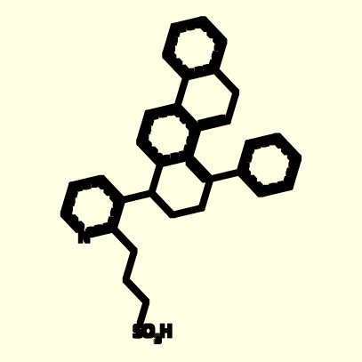 O=S(=O)(O)CCCc1ncccc1C1CCC(c2ccccc2)=c2c1ccc1c2=CCc2ccccc2-1